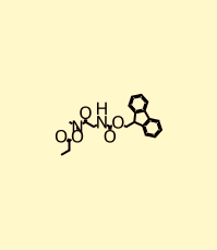 CCC(=O)ON(C)C(=O)CNC(=O)OCC1c2ccccc2-c2ccccc21